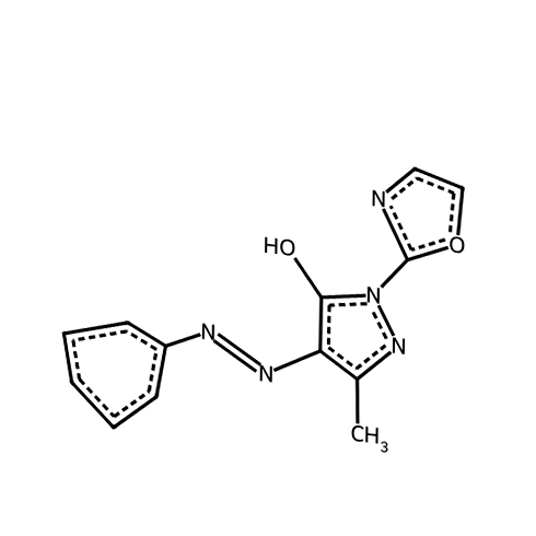 Cc1nn(-c2ncco2)c(O)c1N=Nc1ccccc1